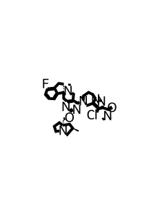 C[C@H]1CN2CCC[C@@]2(COc2nc3c(c(N4CCCn5nc(C(=O)N(C)C)c(Cl)c5C4)n2)CN(C)[C@@]2(CCc4c(F)cccc42)C3)C1